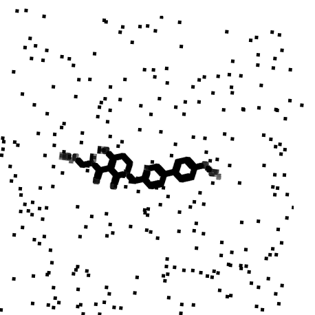 O=C(O)CNC(=O)C1=C(O)CCN(Cc2ccc(-c3ccc(OC(F)(F)F)cc3)cn2)C1=O